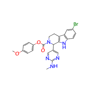 CNc1ncc(C2c3[nH]c4ccc(Br)cc4c3CCN2C(=O)Oc2ccc(OC)cc2)cn1